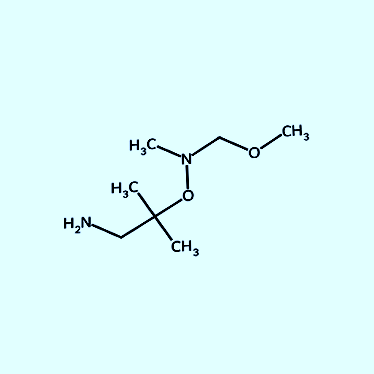 COCN(C)OC(C)(C)CN